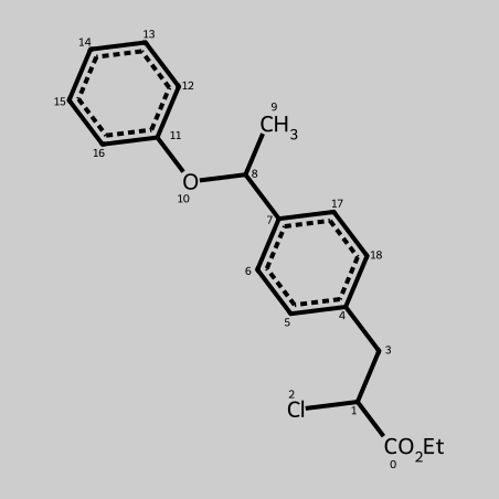 CCOC(=O)C(Cl)Cc1ccc(C(C)Oc2ccccc2)cc1